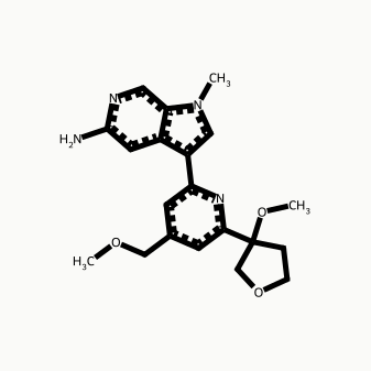 COCc1cc(-c2cn(C)c3cnc(N)cc23)nc(C2(OC)CCOC2)c1